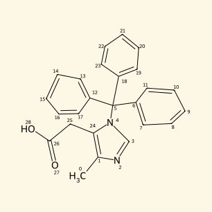 Cc1ncn(C(c2ccccc2)(c2ccccc2)c2ccccc2)c1CC(=O)O